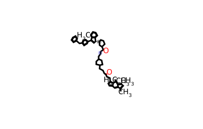 CC1=CC(C)=C2C1=CC1=CC=C(CCC(=O)CCCC3CCC(C/C=C/C(=O)C4CCC[C@@H](C5C=C(c6ccc(Cc7ccccc7)cc6)c6c(C)cccc65)C4)CC3)C1C2(C)C